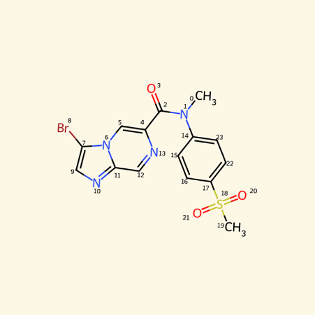 CN(C(=O)c1cn2c(Br)cnc2cn1)c1ccc(S(C)(=O)=O)cc1